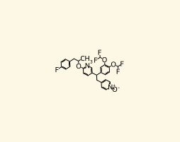 CC(Cc1ccc(F)cc1)Oc1ccc(C(Cc2cc[n+]([O-])cc2)c2ccc(OC(F)F)c(OC(F)F)c2)cn1